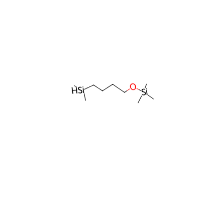 C[SiH](C)CCCCO[Si](C)(C)C